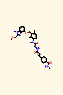 CNC(=O)c1ccc(/C=C/C(=O)NCC(=O)N(C)c2ccc(C)c(COc3cccc4c3nc(COC)n4C)c2C)cc1